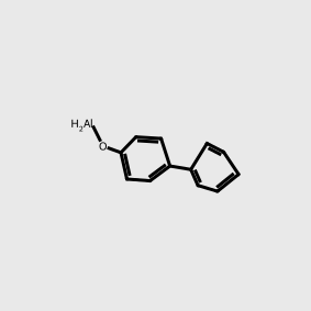 [AlH2][O]c1ccc(-c2ccccc2)cc1